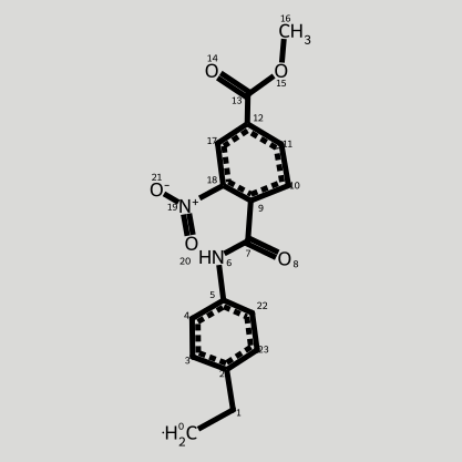 [CH2]Cc1ccc(NC(=O)c2ccc(C(=O)OC)cc2[N+](=O)[O-])cc1